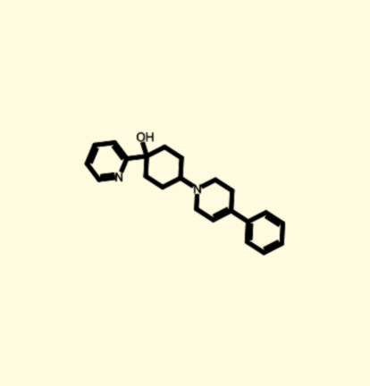 OC1(c2ccccn2)CCC(N2CC=C(c3ccccc3)CC2)CC1